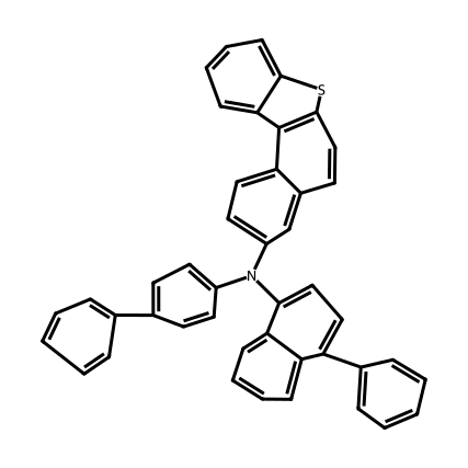 c1ccc(-c2ccc(N(c3ccc4c(ccc5sc6ccccc6c54)c3)c3ccc(-c4ccccc4)c4ccccc34)cc2)cc1